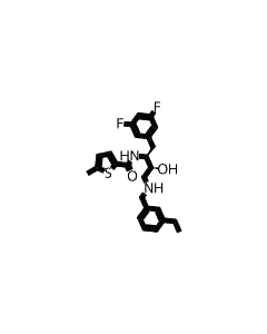 CCc1cccc(CNC[C@@H](O)[C@H](Cc2cc(F)cc(F)c2)NC(=O)c2ccc(C)s2)c1